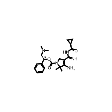 CN(C)C[C@@H](OC(=O)N1CC(C(=N)NC(=O)C2CC2)=C(N)C1(C)C)c1ccccc1